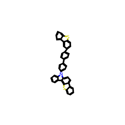 c1ccc2c(c1)sc1ccc(-c3ccc(-c4ccc(-n5c6ccccc6c6c7sc8ccccc8c7ccc65)cc4)cc3)cc12